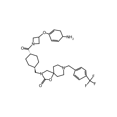 NC1C=CC(OC2CN(C(=O)[C@H]3CC[C@H](CN4CC5(CCN(Cc6ccc(C(F)(F)F)cc6)CC5)OC4=O)CC3)C2)=CC1